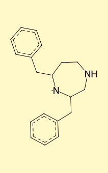 c1ccc(CC2CCNCC(Cc3ccccc3)[N]2)cc1